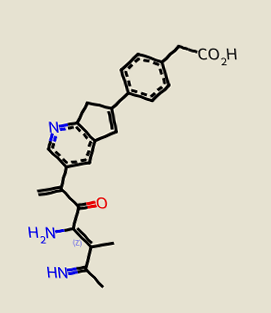 C=C(C(=O)/C(N)=C(\C)C(C)=N)c1cnc2c(c1)C=C(c1ccc(CC(=O)O)cc1)C2